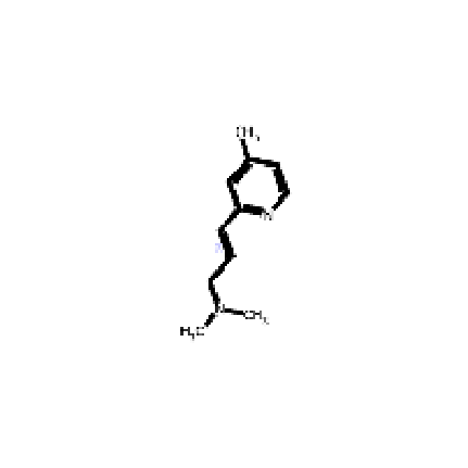 Cc1ccnc(/C=C/CN(C)C)c1